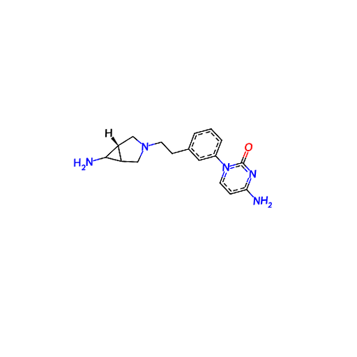 Nc1ccn(-c2cccc(CCN3CC4C(N)[C@@H]4C3)c2)c(=O)n1